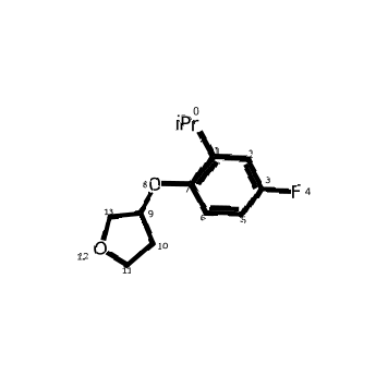 CC(C)c1cc(F)ccc1OC1CCOC1